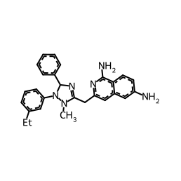 CCc1cccc(N2C(c3ccccc3)N=C(Cc3cc4cc(N)ccc4c(N)n3)N2C)c1